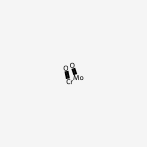 [O]=[Cr].[O]=[Mo]